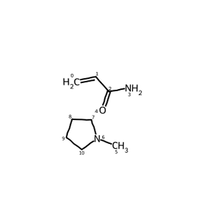 C=CC(N)=O.CN1CCCC1